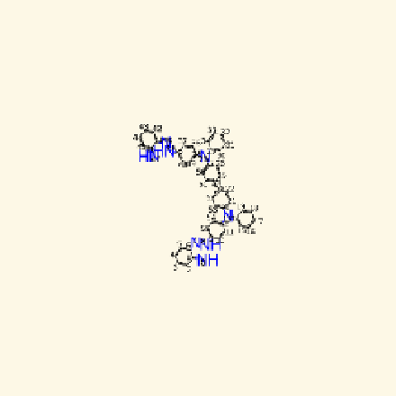 N=C1C=CC=C/C1=N/Nc1ccc(N(c2ccccc2)c2ccc(-c3ccc(N(c4ccccc4)c4ccc(N/N=C5/C=CC=CC5=N)cc4)cc3)cc2)cc1